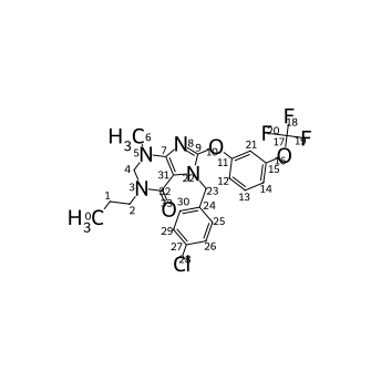 CCCN1CN(C)c2nc(Oc3cccc(OC(F)(F)F)c3)n(Cc3ccc(Cl)cc3)c2C1=O